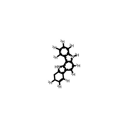 [2H]C1=C([2H])C([2H])Cc2[nH]c3c(c([2H])c([2H])c4c3c3c([2H])c([2H])c([2H])c([2H])c3n4[2H])c21